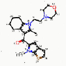 CCCn1c(C(=O)c2c3c(n(CCN4CCOCC4)c2C)CCCC3)cc2ccsc21